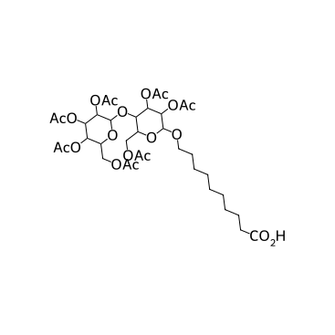 CC(=O)OCC1OC(OC2C(COC(C)=O)OC(OCCCCCCCCCC(=O)O)C(OC(C)=O)C2OC(C)=O)C(OC(C)=O)C(OC(C)=O)C1OC(C)=O